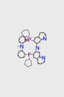 CN1c2ccccc2P(C2CCCCC2)c2cc3cccnc3cc2N(C)c2cc3ncccc3cc2[PH](C)(C2CCCCC2)c2ccccc21